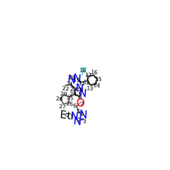 CCn1ncnc1COc1nn2c(-c3ccccc3F)nnc(C)c2c1C1CCCC1